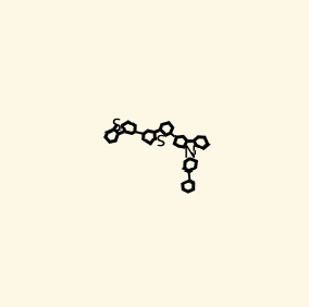 c1ccc(-c2ccc(-n3c4ccccc4c4cc(-c5cccc6c5sc5ccc(-c7ccc8sc9ccccc9c8c7)cc56)ccc43)cc2)cc1